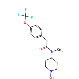 CN1CCC(N(C)C(=O)Cc2ccc(OC(F)(F)F)cc2)CC1